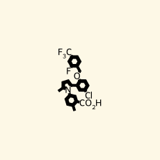 Cc1ccc(-n2c(C)ccc2-c2cc(Cl)ccc2OCc2ccc(C(F)(F)F)cc2F)cc1C(=O)O